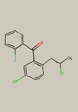 N#CC(Cl)Cc1ccc(Cl)cc1C(=O)c1ccccc1F